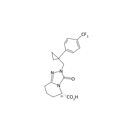 O=C(O)[C@@H]1CCCc2nn(CC3(c4ccc(C(F)(F)F)cc4)CC3)c(=O)n21